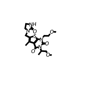 COCCn1c(=O)n(C(C)COC)c(=O)c2c(C)c(CN3CCNC3=O)sc21